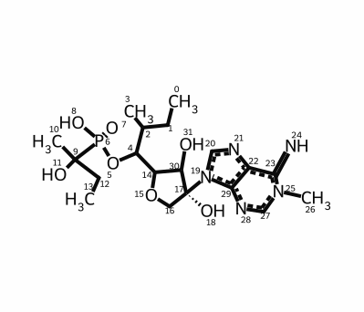 CCC(C)C(OP(=O)(O)C(C)(O)CC)C1OC[C@](O)(n2cnc3c(=N)n(C)cnc32)C1O